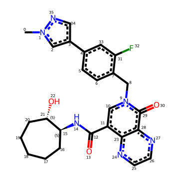 Cn1cc(-c2ccc(Cn3cc(C(=O)N[C@H]4CCCCC[C@@H]4O)c4nccnc4c3=O)c(F)c2)cn1